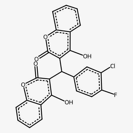 O=c1oc2ccccc2c(O)c1C(c1ccc(F)c(Cl)c1)c1c(O)c2ccccc2oc1=O